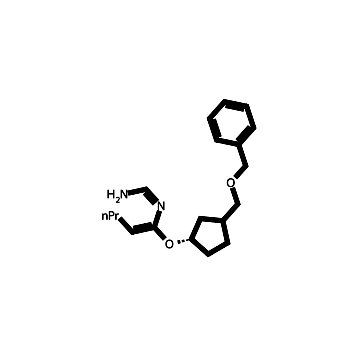 CCC/C=C(\N=C/N)O[C@H]1CCC(COCc2ccccc2)C1